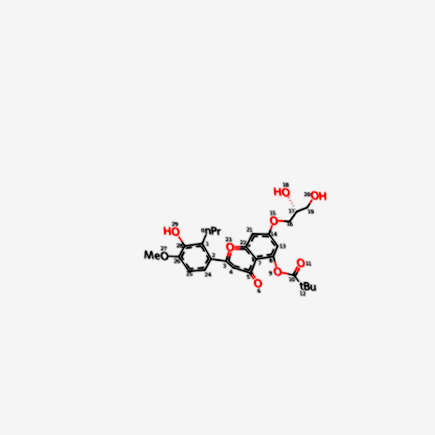 CCCc1c(-c2cc(=O)c3c(OC(=O)C(C)(C)C)cc(OC[C@H](O)CO)cc3o2)ccc(OC)c1O